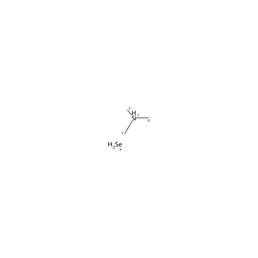 C[SiH](C)C.[SeH2]